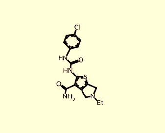 CCN1Cc2sc(NC(=O)Nc3ccc(Cl)cc3)c(C(N)=O)c2C1